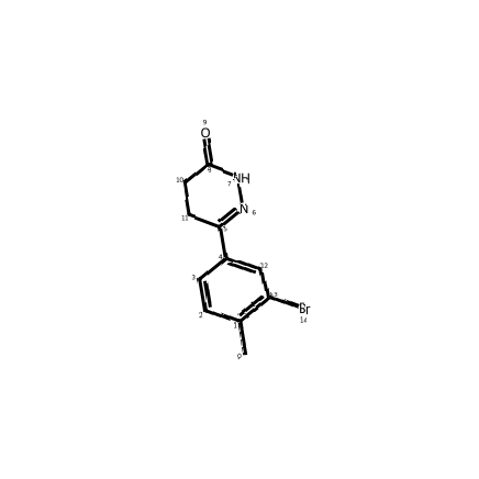 Cc1ccc(C2=NNC(=O)CC2)cc1Br